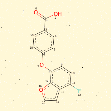 O=C(O)c1ccc(Oc2ccc(F)c3ccoc23)cc1